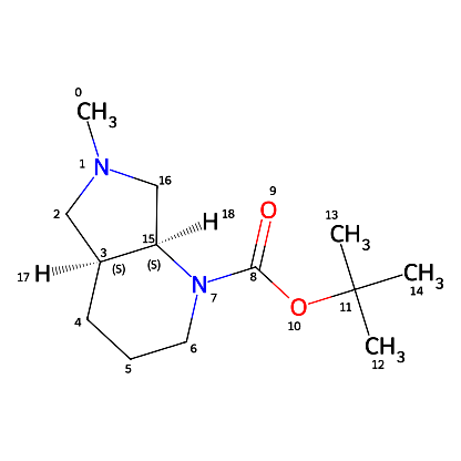 CN1C[C@@H]2CCCN(C(=O)OC(C)(C)C)[C@@H]2C1